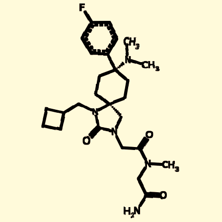 CN(CC(N)=O)C(=O)CN1C[C@]2(CC[C@@](c3ccc(F)cc3)(N(C)C)CC2)N(CC2CCC2)C1=O